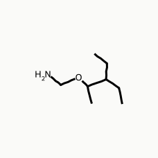 CCC(CC)C(C)OCN